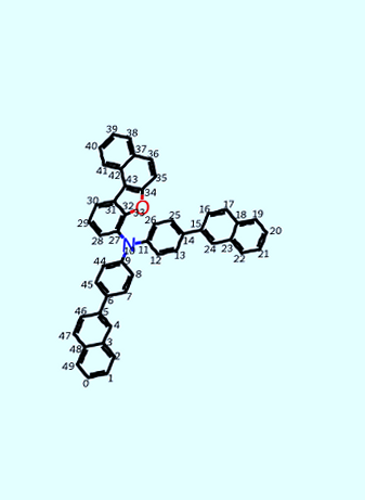 c1ccc2cc(-c3ccc(N(c4ccc(-c5ccc6ccccc6c5)cc4)c4cccc5c4oc4ccc6ccccc6c45)cc3)ccc2c1